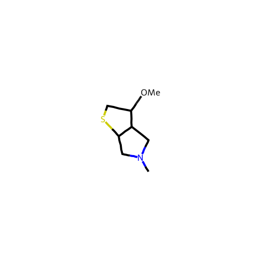 COC1CSC2CN(C)CC12